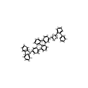 c1ccc(-c2ccccc2-c2nnc(-c3ccc(-c4ccccc4-c4ccccc4-c4ccc(-n5c6ccccc6c6ccccc65)cc4)cc3)o2)cc1